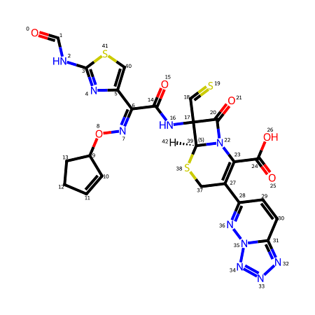 O=CNc1nc(C(=NOC2C=CCC2)C(=O)NC2(C=S)C(=O)N3C(C(=O)O)=C(c4ccc5nnnn5n4)CS[C@H]32)cs1